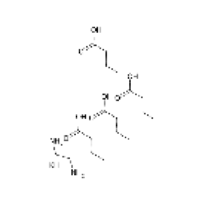 CCCC(=O)O.CCCC(=O)O.CCCC(=O)O.CCCC(=O)O.NCCN.[KH]